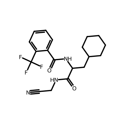 N#CCNC(=O)C(CC1CCCCC1)NC(=O)c1ccccc1C(F)(F)F